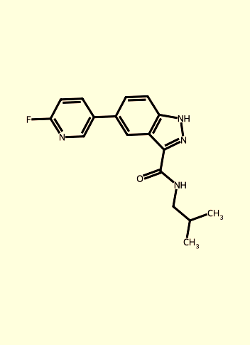 CC(C)CNC(=O)c1n[nH]c2ccc(-c3ccc(F)nc3)cc12